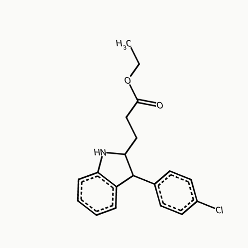 CCOC(=O)CCC1Nc2ccccc2C1c1ccc(Cl)cc1